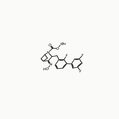 CC(C)(C)OC(=O)N1C2CC(C2)C(=NO)C1Cc1cccc(-c2cc(F)cc(F)c2)c1F